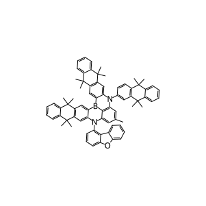 Cc1cc2c3c(c1)N(c1cccc4oc5ccccc5c14)c1cc4c(cc1B3c1cc3c(cc1N2c1ccc2c(c1)C(C)(C)c1ccccc1C2(C)C)C(C)(C)c1ccccc1C3(C)C)C(C)(C)c1ccccc1C4(C)C